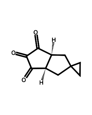 O=C1C(=O)[C@H]2CC3(CC3)C[C@H]2C1=O